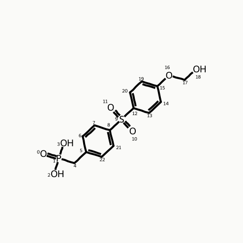 O=P(O)(O)Cc1ccc(S(=O)(=O)c2ccc(OCO)cc2)cc1